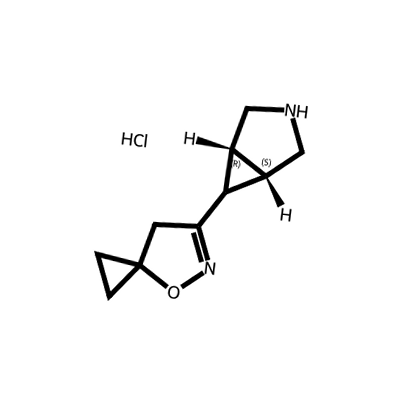 C1NC[C@H]2C(C3=NOC4(CC4)C3)[C@@H]12.Cl